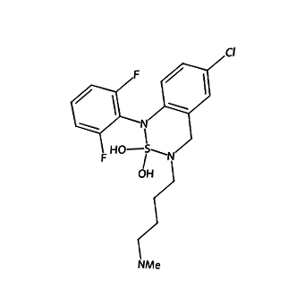 CNCCCCN1Cc2cc(Cl)ccc2N(c2c(F)cccc2F)S1(O)O